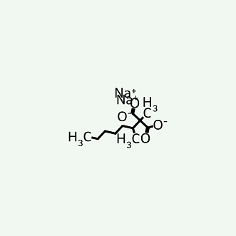 CCCCCC(C)C(C)(C(=O)[O-])C(=O)[O-].[Na+].[Na+]